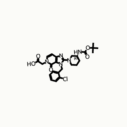 CC(C)(C)OC(=O)N[C@@H]1CCCN(c2nc3ccn(CC(=O)O)c(=O)c3n2Cc2ccccc2Cl)C1